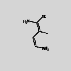 CC/C(N)=C(C)/C=C\N